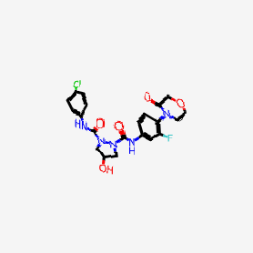 O=C1COCCN1c1ccc(NC(=O)N2CC(O)CN2C(=O)Nc2ccc(Cl)cc2)cc1F